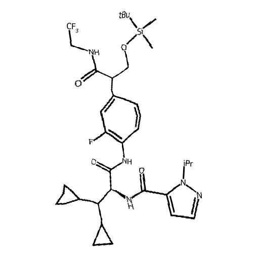 CC(C)n1nccc1C(=O)N[C@H](C(=O)Nc1ccc(C(CO[Si](C)(C)C(C)(C)C)C(=O)NCC(F)(F)F)cc1F)C(C1CC1)C1CC1